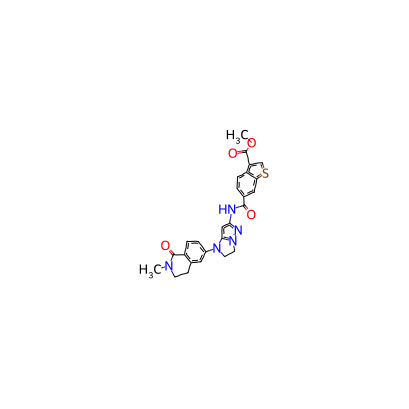 COC(=O)c1csc2cc(C(=O)Nc3cc4n(n3)CCN4c3ccc4c(c3)CCN(C)C4=O)ccc12